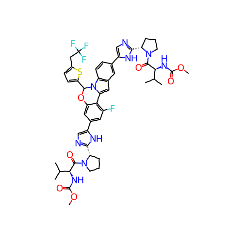 COC(=O)N[C@H](C(=O)N1CCC[C@H]1c1ncc(-c2cc(F)c3c(c2)OC(c2ccc(CC(F)(F)F)s2)n2c-3cc3cc(-c4cnc([C@@H]5CCCN5C(=O)[C@@H](NC(=O)OC)C(C)C)[nH]4)ccc32)[nH]1)C(C)C